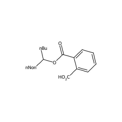 CCCCCCCCCC(CCCC)OC(=O)c1ccccc1C(=O)O